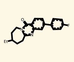 CCC1CCc2nc3cc(-c4ccc(F)cc4)ccc3c(=O)n2CC1